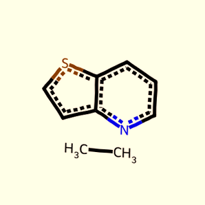 CC.c1cnc2ccsc2c1